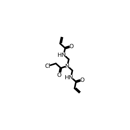 C=CC(=O)NCN(CNC(=O)C=C)C(=O)CCl